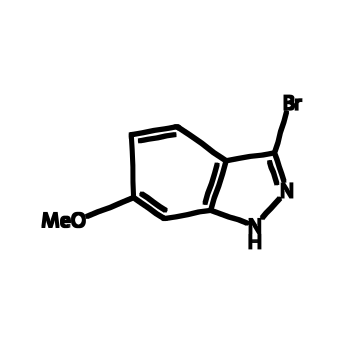 COc1ccc2c(Br)n[nH]c2c1